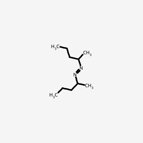 CCCC(C)N=NC(C)CCC